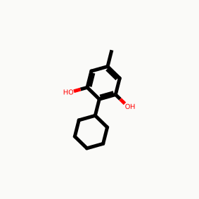 Cc1cc(O)c(C2CCCCC2)c(O)c1